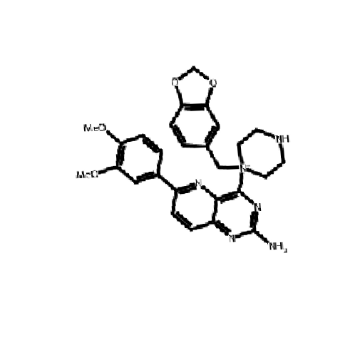 COc1ccc(-c2ccc3nc(N)nc([N+]4(Cc5ccc6c(c5)OCO6)CCNCC4)c3n2)cc1OC